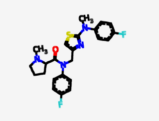 CN(c1ccc(F)cc1)c1nc(CN(C(=O)C2CCCN2C)c2ccc(F)cc2)cs1